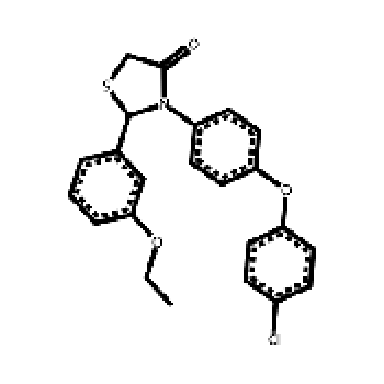 CCOc1cccc(C2SCC(=O)N2c2ccc(Oc3ccc(Cl)cc3)cc2)c1